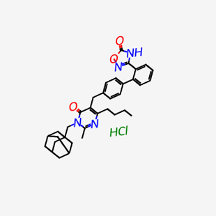 CCCCc1nc(C)n(CC23CC4CC(CC(C4)C2)C3)c(=O)c1Cc1ccc(-c2ccccc2-c2noc(=O)[nH]2)cc1.Cl